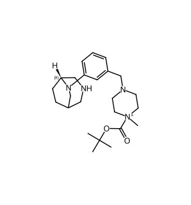 CC(C)(C)OC(=O)[N+]1(C)CCN(Cc2cccc(N3CC4CC[C@@H]3CNC4)c2)CC1